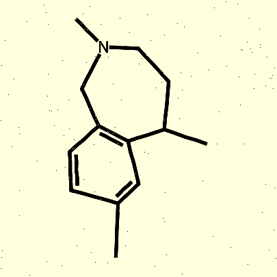 Cc1ccc2c(c1)C(C)CCN(C)C2